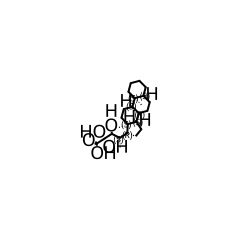 C[C@H](C(O)C(O)(O)C(=O)O)[C@H]1CC[C@H]2[C@@H]3CC[C@@H]4CCCC[C@]4(C)[C@H]3CC[C@]12C